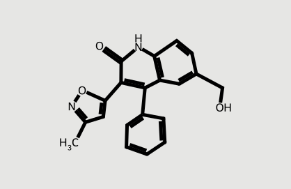 Cc1cc(-c2c(-c3ccccc3)c3cc(CO)ccc3[nH]c2=O)on1